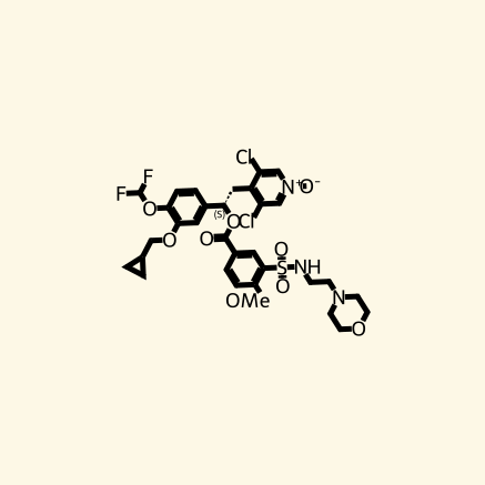 COc1ccc(C(=O)O[C@@H](Cc2c(Cl)c[n+]([O-])cc2Cl)c2ccc(OC(F)F)c(OCC3CC3)c2)cc1S(=O)(=O)NCCN1CCOCC1